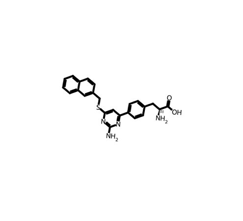 Nc1nc(SCc2ccc3ccccc3c2)cc(-c2ccc(C[C@H](N)C(=O)O)cc2)n1